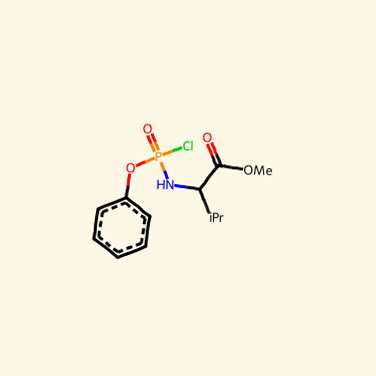 COC(=O)C(NP(=O)(Cl)Oc1ccccc1)C(C)C